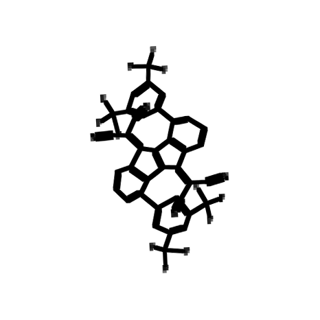 N#CC(C#N)=C1C2=C(C(=C(C#N)C#N)c3cccc(-c4cc(C(F)(F)F)cc(C(F)(F)F)c4)c32)c2c1cccc2-c1cc(C(F)(F)F)cc(C(F)(F)F)c1